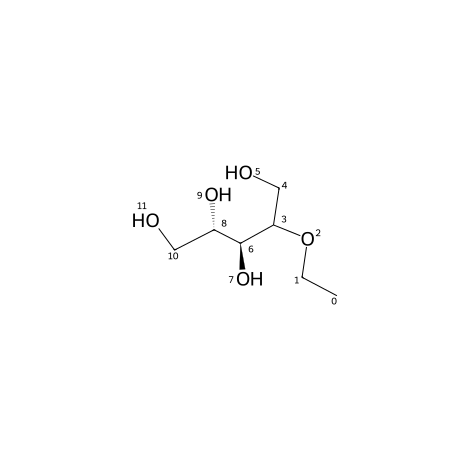 CCOC(CO)[C@@H](O)[C@@H](O)CO